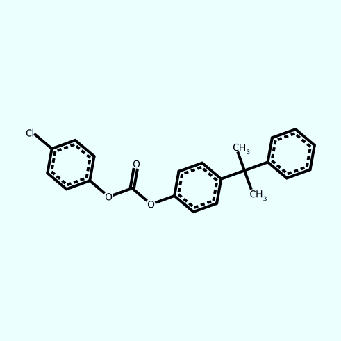 CC(C)(c1ccccc1)c1ccc(OC(=O)Oc2ccc(Cl)cc2)cc1